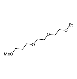 CCOCCOCCOCCCOC